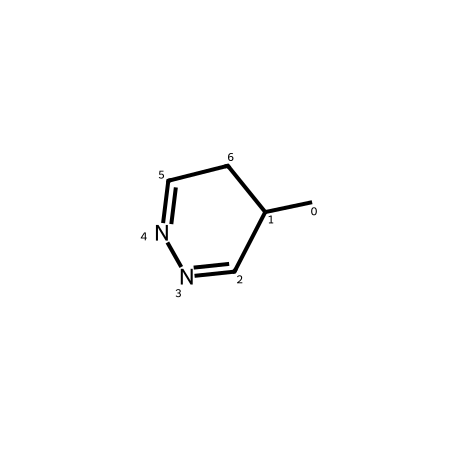 CC1C=NN=CC1